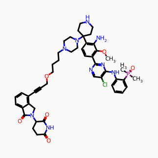 COc1c(-c2ncc(Cl)c(Nc3ccccc3P(C)(C)=O)n2)ccc(C2(N3CCN(CCCCOCC#Cc4cccc5c4CN(C4CCC(=O)NC4=O)C5=O)CC3)CCNCC2)c1N